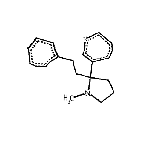 CN1CCCC1(CCc1ccccc1)c1cccnc1